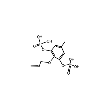 C=CCOc1c(OP(=O)(O)O)cc(C)cc1OP(=O)(O)O